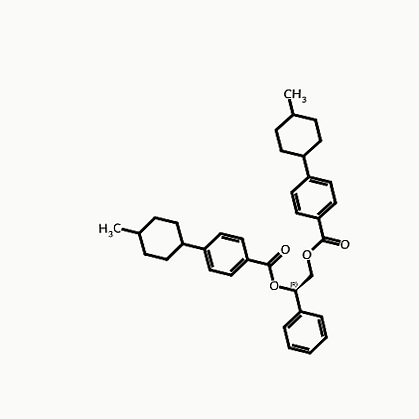 CC1CCC(c2ccc(C(=O)OC[C@H](OC(=O)c3ccc(C4CCC(C)CC4)cc3)c3ccccc3)cc2)CC1